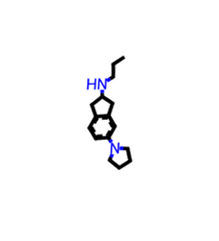 CCCNC1Cc2ccc(N3CCCC3)cc2C1